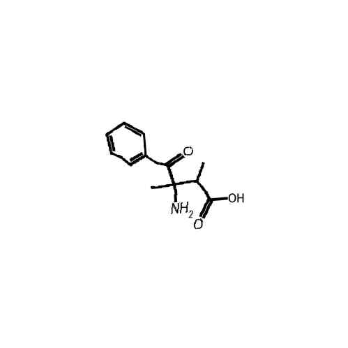 CC(C(=O)O)C(C)(N)C(=O)c1ccccc1